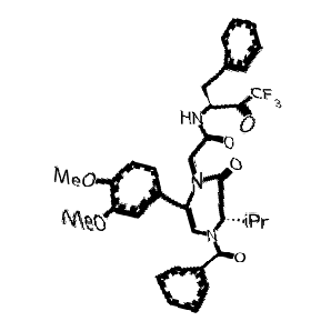 COc1ccc(C2=CN(C(=O)c3ccccc3)[C@@H](C(C)C)C(=O)N2CC(=O)N[C@@H](Cc2ccccc2)C(=O)C(F)(F)F)cc1OC